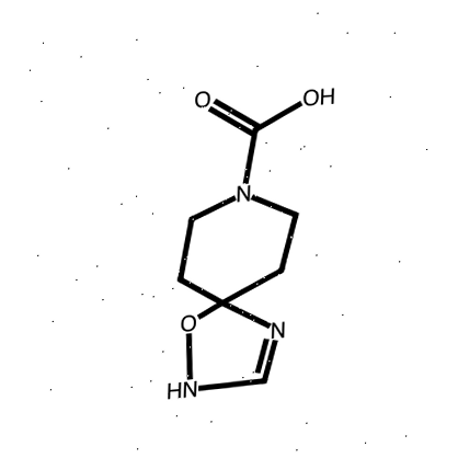 O=C(O)N1CCC2(CC1)N=CNO2